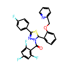 O=C(c1c(F)cc(F)cc1F)N1N=C(c2ccc(F)cc2)SC1c1ccccc1OCc1ccccn1